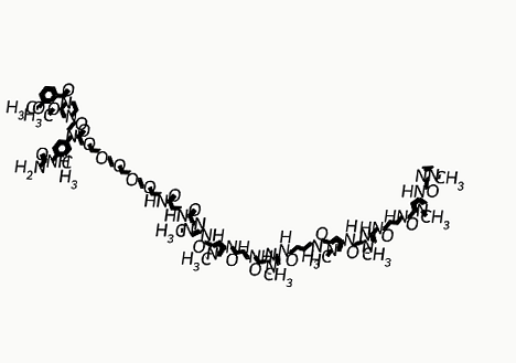 COc1cccc(C(=O)N2CCN(C(=O)CN(C(=O)COCCOCCOCCOCCOCCNC(=O)CCNC(=O)c3nc(NC(=O)c4cc(NC(=O)CCNC(=O)c5nc(NC(=O)CCCNC(=O)c6cc(NC(=O)c7nc(NC(=O)CCNC(=O)c8cc(NC(=O)c9nccn9C)cn8C)cn7C)cn6C)cn5C)cn4C)cn3C)c3ccc(NC(N)=O)c(C)c3)CC2)c1OC